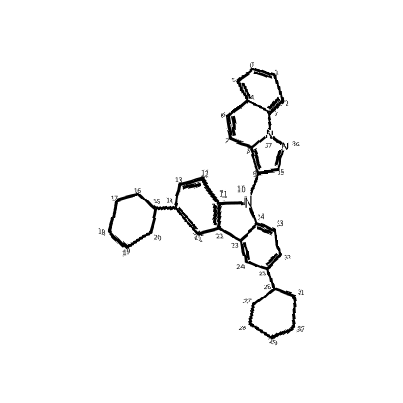 c1ccc2c(c1)ccc1c(-n3c4ccc(C5CCCCC5)cc4c4cc(C5CCCCC5)ccc43)cnn12